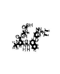 CCN(CC)c1nnc2ccc(O[C@@H]3CC[C@H](NC(=O)Nc4cc(C(=O)NCC(C)(C)N(C)C)nc(C(C)(C)C)c4)c4ccccc43)cn12.O=CO